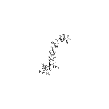 CC(Cc1ccc2c(c1)OC(CNC(=O)CCC(=O)ON1C(=O)CCC1=O)O2)NC(=O)OC(C)(C)C